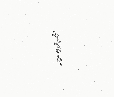 Cc1cc(OCc2nnc(C3(C)C=C(NC(=O)COc4ccc(Cl)c(F)c4)C3)o2)cnc1C#N